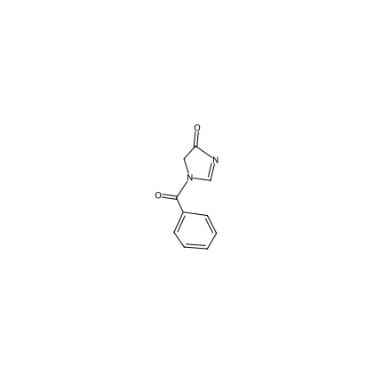 O=C1CN(C(=O)c2ccccc2)C=N1